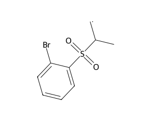 [CH2]C(C)S(=O)(=O)c1ccccc1Br